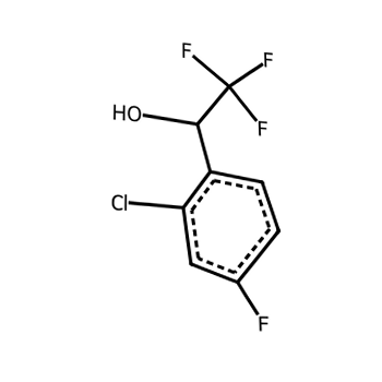 OC(c1ccc(F)cc1Cl)C(F)(F)F